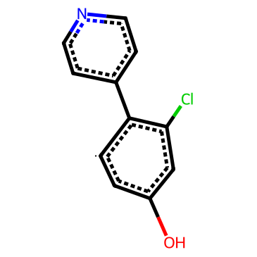 Oc1c[c]c(-c2ccncc2)c(Cl)c1